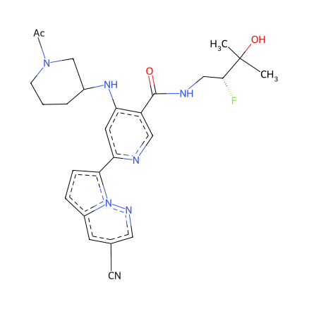 CC(=O)N1CCCC(Nc2cc(-c3ccc4cc(C#N)cnn34)ncc2C(=O)NC[C@@H](F)C(C)(C)O)C1